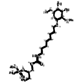 COP(=O)(O)O[C@H](COC(=O)NCCCCCCCCO[C@@H]1O[C@H](CO)[C@H](O)[C@H](O)[C@H]1NC(C)=O)CC(C)C